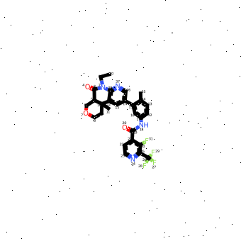 CCN1C(=O)C2COCCC2(C)c2cc(-c3cc(NC(=O)c4ccnc(C(F)(F)F)c4F)ccc3C)cnc21